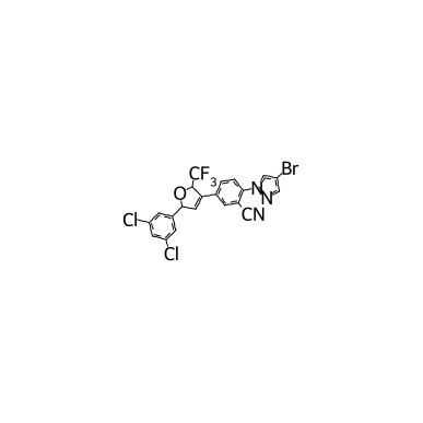 N#Cc1cc(C2=CC(c3cc(Cl)cc(Cl)c3)OC2C(F)(F)F)ccc1-n1cc(Br)cn1